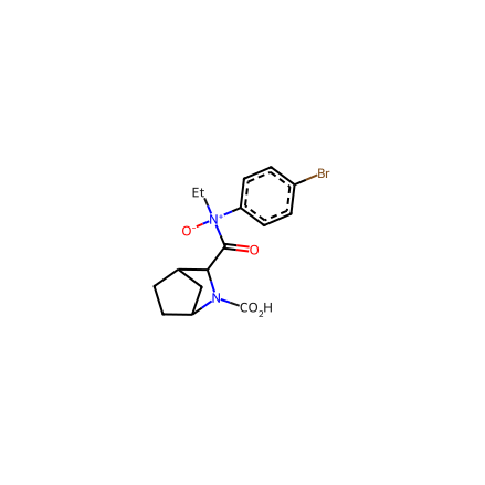 CC[N+]([O-])(C(=O)C1C2CCC(C2)N1C(=O)O)c1ccc(Br)cc1